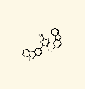 CC1C=Cc2oc3ccccc3c2C1c1nc(N)nc(-c2ccc3c(c2)C2=CC=CC[C@@H]2O3)n1